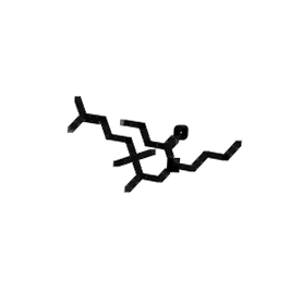 CCCCN(CC(C)C(C)(C)CCC=C(C)C)C(=O)CCC